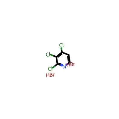 Br.Br.Clc1ccnc(Cl)c1Cl